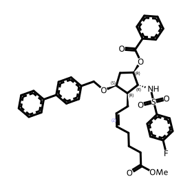 COC(=O)CCC/C=C\C[C@@H]1[C@@H](NS(=O)(=O)c2ccc(F)cc2)[C@H](OC(=O)c2ccccc2)C[C@@H]1OCc1ccc(-c2ccccc2)cc1